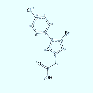 O=C(O)Cc1cc(Br)c(-c2ccc(Cl)cc2)s1